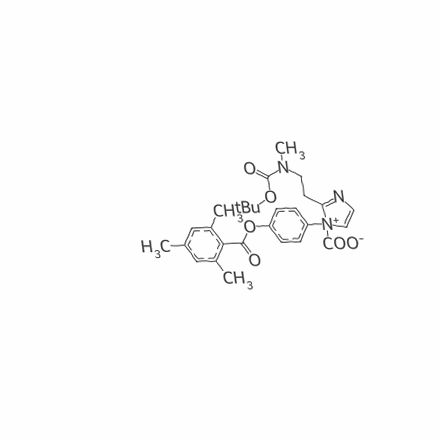 Cc1cc(C)c(C(=O)Oc2ccc([N+]3(C(=O)[O-])C=CN=C3CCN(C)C(=O)OC(C)(C)C)cc2)c(C)c1